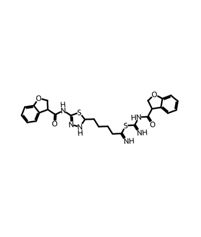 N=C(CCCCC1NN=C(NC(=O)C2COc3ccccc32)S1)SC(=N)NC(=O)C1COc2ccccc21